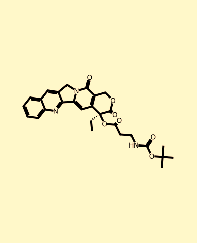 CC[C@@]1(OC(=O)CCNC(=O)OC(C)(C)C)C(=O)OCc2c1cc1n(c2=O)Cc2cc3ccccc3nc2-1